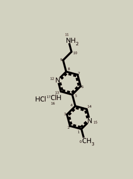 Cc1ccc(-c2ccc(CCN)nc2)cn1.Cl.Cl